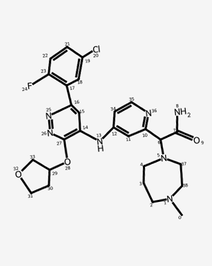 CN1CCCN(C(C(N)=O)c2cc(Nc3cc(-c4cc(Cl)ccc4F)nnc3OC3CCOC3)ccn2)CC1